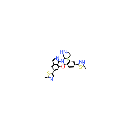 Cc1ncc(-c2cc(C)c3c(N(C(=O)c4ccc(-c5nnc(C)s5)cc4F)[C@@H]4CCCNC4)nccc3c2)s1